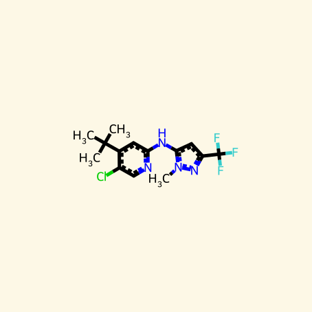 Cn1nc(C(F)(F)F)cc1Nc1cc(C(C)(C)C)c(Cl)cn1